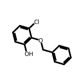 Oc1cccc(Cl)c1OCc1ccccc1